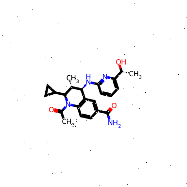 CC(=O)N1c2ccc(C(N)=O)cc2[C@H](Nc2cccc([C@@H](C)O)n2)[C@@H](C)C1C1CC1